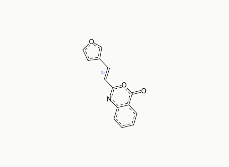 O=c1oc(/C=C/c2ccoc2)nc2ccccc12